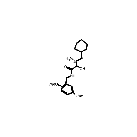 COc1ccc(OC)c(CNC(=O)C(O)[C@H](N)CC2CCCCC2)c1